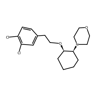 Clc1ccc(CCO[C@@H]2CCCC[C@@H]2N2CCOCC2)cc1Cl